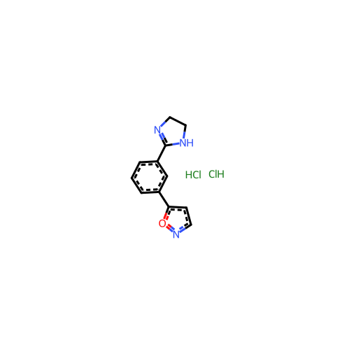 Cl.Cl.c1cc(C2=NCCN2)cc(-c2ccno2)c1